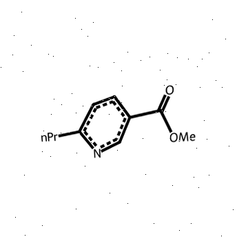 C[CH]Cc1ccc(C(=O)OC)cn1